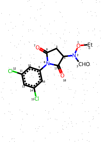 CCON(C=O)C1CC(=O)N(c2cc(Cl)cc(Cl)c2)C1=O